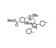 CCCCn1c(-c2ccccc2C)nc(-c2ccc(C)cc2)c1CC(NCc1ccc(C(=O)OC)cc1)C(C)(C)C